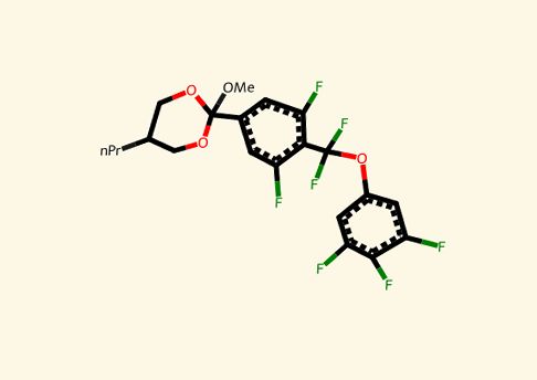 CCCC1COC(OC)(c2cc(F)c(C(F)(F)Oc3cc(F)c(F)c(F)c3)c(F)c2)OC1